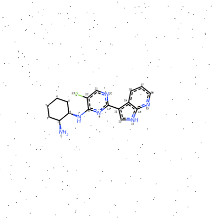 N[C@H]1CCCC[C@H]1Nc1nc(-c2c[nH]c3ncccc23)ncc1F